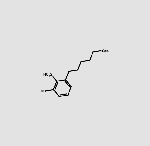 CCCCCCCCCCCCCCCc1cccc(O)c1S(=O)(=O)O